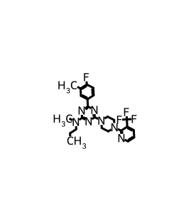 CCCN(C)c1nc(-c2ccc(F)c(C)c2)nc(N2CCN(c3ncccc3C(F)(F)F)CC2)n1